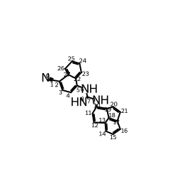 N#Cc1ccc(NC(=N)Nc2ccc3cccc4c3c2C=C4)c2ccccc12